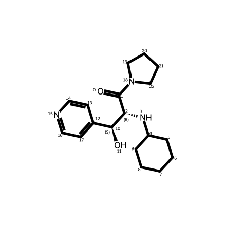 O=C([C@H](NC1CCCCC1)[C@@H](O)c1ccncc1)N1CCCC1